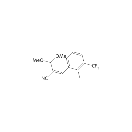 COC(OC)C(C#N)=Cc1cccc(C(F)(F)F)c1C